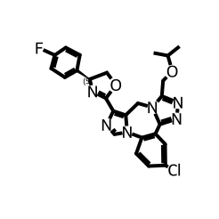 CC(C)OCc1nnc2n1Cc1c(C3=N[C@@H](c4ccc(F)cc4)CO3)ncn1-c1ccc(Cl)cc1-2